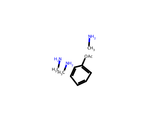 CC(=O)Oc1ccccc1.CN.CN.CN